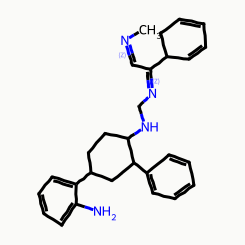 C/N=C\C(=N/CNC1CCC(c2ccccc2N)CC1c1ccccc1)C1C=CC=CC1